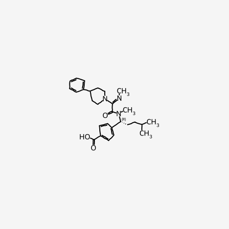 CN=C(C(=O)N(C)[C@H](CCC(C)C)c1ccc(C(=O)O)cc1)N1CCC(c2ccccc2)CC1